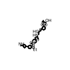 CCOc1ccc(-c2ccc(CN)cc2)cc1S(=O)(=O)N1CCC2(CC1)C[C@@H](NC[C@H](O)COc1cccc(S(=O)(=O)C3(CO)CC3)c1)CO2